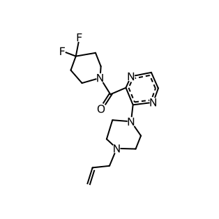 C=CCN1CCN(c2nccnc2C(=O)N2CCC(F)(F)CC2)CC1